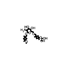 COC1(C)CC(C)(COC2OC(COCC3(C)CC(C)(OP(O)O)C3)C(O)C(O)C2N)C1